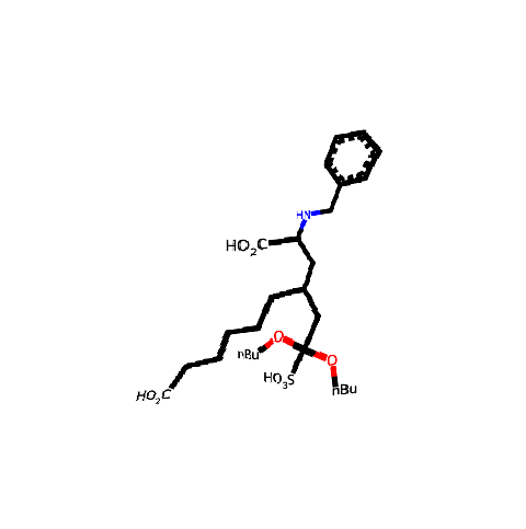 CCCCOC(CC(CCCCCC(=O)O)CC(NCc1ccccc1)C(=O)O)(OCCCC)S(=O)(=O)O